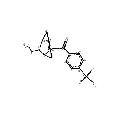 CCN1C2C3=C4C1C4N(C(=O)c1ccc(C(F)(F)F)cc1)C32